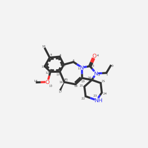 CCN1C(=O)N2Cc3cc(C)cc(OC)c3[C@H](C)C=C2C12CCNCC2